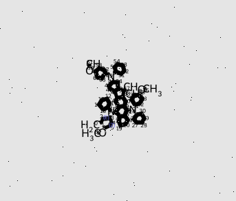 C=C/C=C(\C=C/COC)N(c1ccccc1)c1c2ccccc2c(N(c2ccccc2)c2ccc(OC)cc2)c2cc3c(cc12)-c1ccc(N(c2ccccc2)c2ccc(OC)cc2)cc1C3(C)C